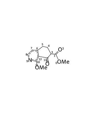 COC(=O)C1CCc2ccnc(OC)c2C1=O